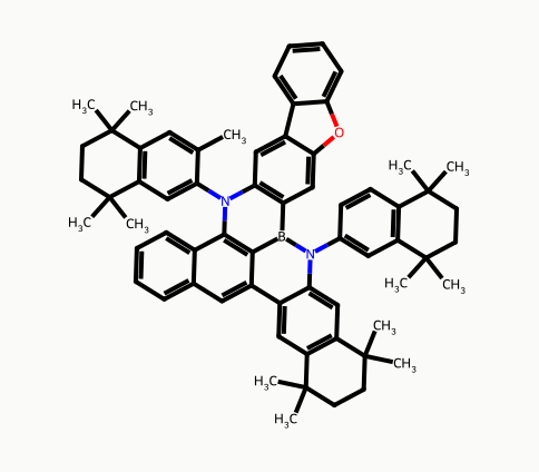 Cc1cc2c(cc1N1c3cc4c(cc3B3c5c(cc6ccccc6c51)-c1cc5c(cc1N3c1ccc3c(c1)C(C)(C)CCC3(C)C)C(C)(C)CCC5(C)C)oc1ccccc14)C(C)(C)CCC2(C)C